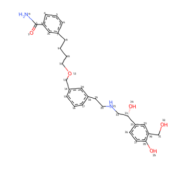 NC(=O)c1cccc(CCCCOCc2cccc(CCNC[C@H](O)c3ccc(O)c(CO)c3)c2)c1